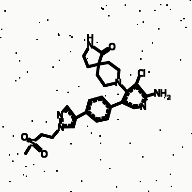 CS(=O)(=O)CCn1cc(-c2ccc(-c3cnc(N)c(Cl)c3N3CCC4(CCNC4=O)CC3)cc2)cn1